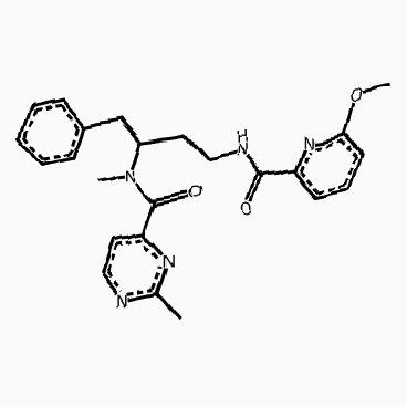 COc1cccc(C(=O)NCCC(Cc2ccccc2)N(C)C(=O)c2ccnc(C)n2)n1